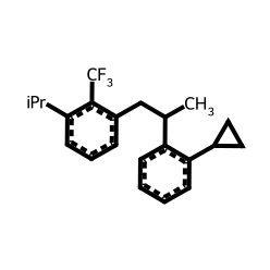 CC(C)c1cccc(CC(C)c2ccccc2C2CC2)c1C(F)(F)F